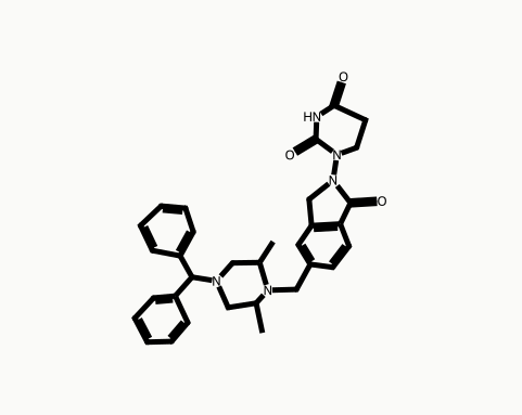 CC1CN(C(c2ccccc2)c2ccccc2)CC(C)N1Cc1ccc2c(c1)CN(N1CCC(=O)NC1=O)C2=O